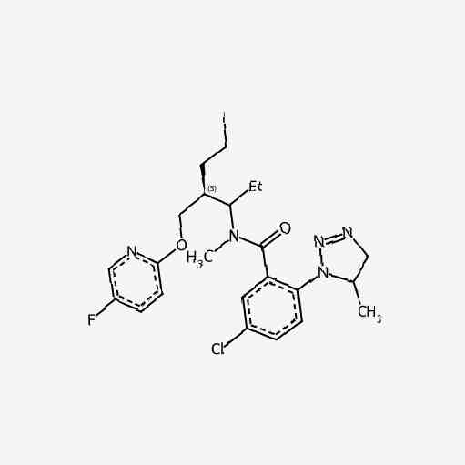 CCC([C@H](CCI)COc1ccc(F)cn1)N(C)C(=O)c1cc(Cl)ccc1N1N=NCC1C